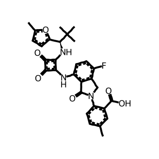 Cc1ccc(N2Cc3c(F)ccc(Nc4c(N[C@@H](c5ccc(C)o5)C(C)(C)C)c(=O)c4=O)c3C2=O)c(C(=O)O)c1